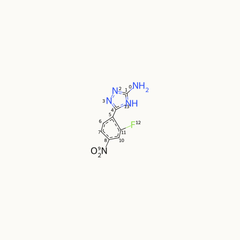 Nc1nnc(-c2ccc([N+](=O)[O-])cc2F)[nH]1